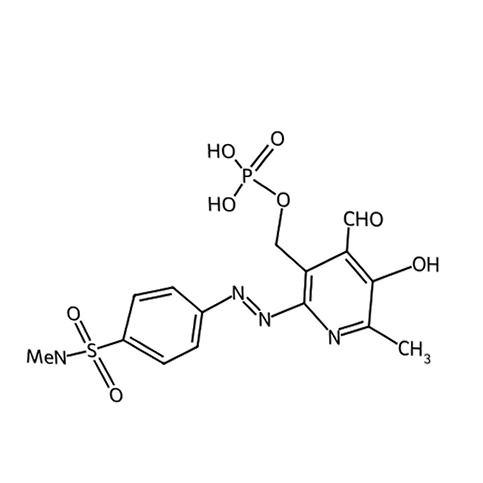 CNS(=O)(=O)c1ccc(N=Nc2nc(C)c(O)c(C=O)c2COP(=O)(O)O)cc1